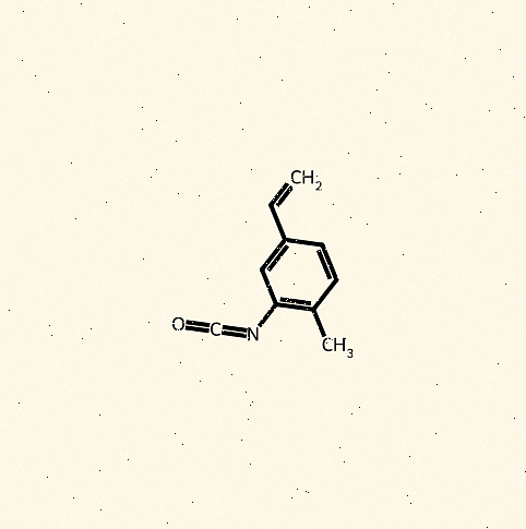 C=Cc1ccc(C)c(N=C=O)c1